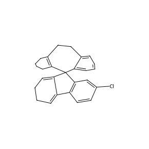 Clc1ccc2c(c1)C1(C3=CCCC=C32)C2=C(CCCC2)CCc2ccccc21